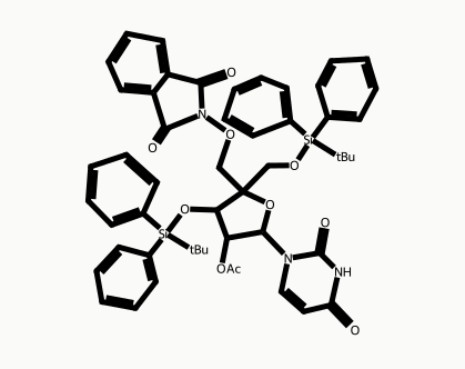 CC(=O)OC1C(n2ccc(=O)[nH]c2=O)OC(CON2C(=O)c3ccccc3C2=O)(CO[Si](c2ccccc2)(c2ccccc2)C(C)(C)C)C1O[Si](c1ccccc1)(c1ccccc1)C(C)(C)C